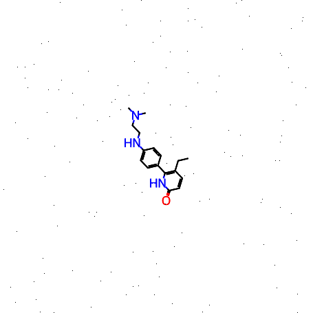 CCc1ccc(=O)[nH]c1-c1ccc(NCCN(C)C)cc1